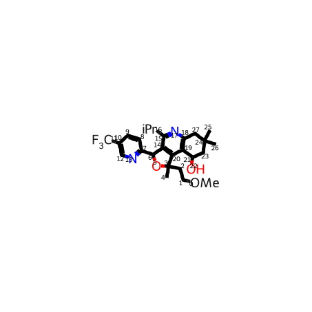 COCCC1(C)OC(c2ccc(C(F)(F)F)cn2)c2c(C(C)C)nc3c(c21)C(O)CC(C)(C)C3